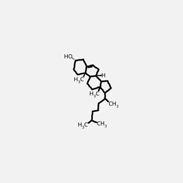 CC(C)CCCC(C)C1CCC2[C@H]3CC=C4C[C@@H](O)CC[C@@]4(C)C3CCC12C